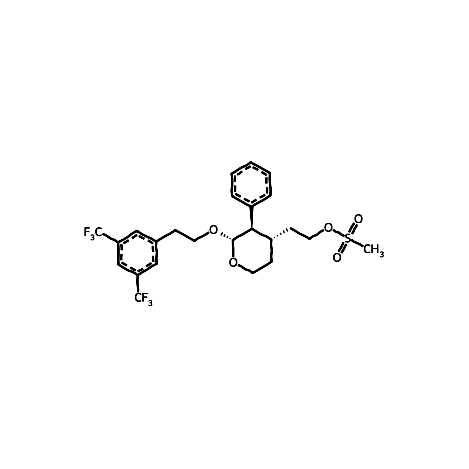 CS(=O)(=O)OCC[C@@H]1CCO[C@H](OCCc2cc(C(F)(F)F)cc(C(F)(F)F)c2)[C@H]1c1ccccc1